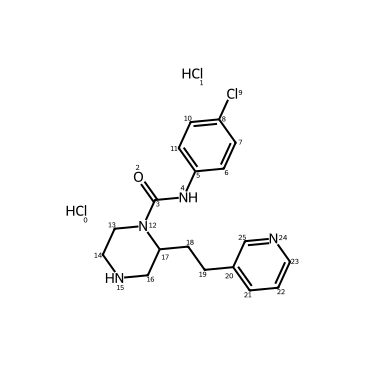 Cl.Cl.O=C(Nc1ccc(Cl)cc1)N1CCNCC1CCc1cccnc1